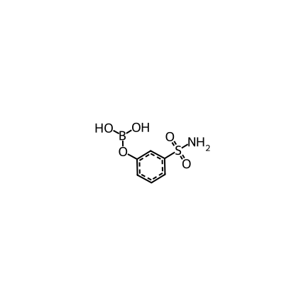 NS(=O)(=O)c1cccc(OB(O)O)c1